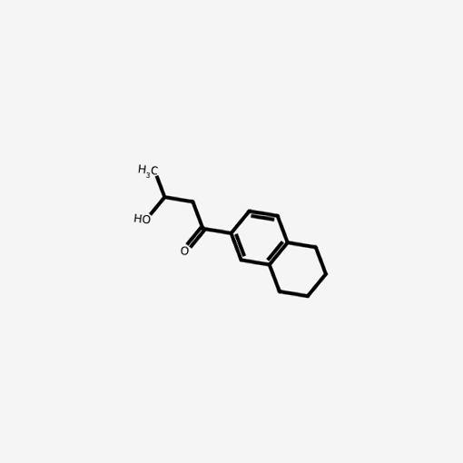 CC(O)CC(=O)c1ccc2c(c1)CCCC2